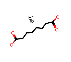 O=C([O-])CCCCCCC(=O)[O-].[H+].[Rb+]